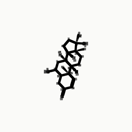 CC(=O)[C@@]1(O)CC[C@H]2[C@@H]3CC(O)C4CC(=O)C=C[C@]4(C)[C@H]3CC[C@@]21C